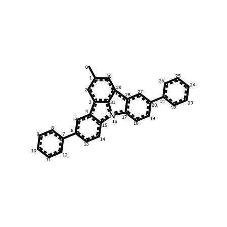 Cc1cc2c3cc(-c4ccccc4)ccc3n3c4ccc(-c5ccccc5)cc4c(c1)c23